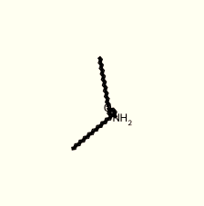 CCCCCCCCCCCCCCCCCCOc1ccc(N)c(CCCCCCCCCCCCCCCCCC)c1